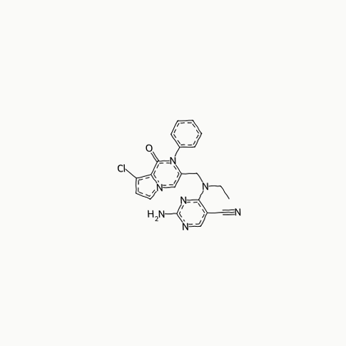 CCN(Cc1cn2ccc(Cl)c2c(=O)n1-c1ccccc1)c1nc(N)ncc1C#N